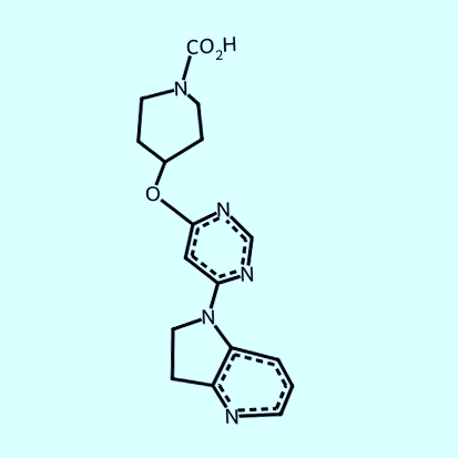 O=C(O)N1CCC(Oc2cc(N3CCc4ncccc43)ncn2)CC1